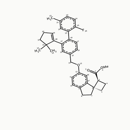 COC(=O)[C@H]1CC[C@@]12CCc1ccc(OCc3ccc(-c4cc(C)ccc4F)c(C4=CCCC4(C)C)c3)cc12